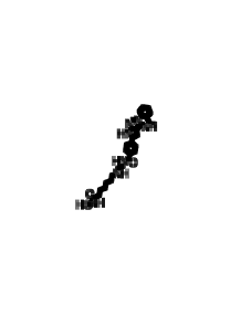 C[C@@H](Nc1ncnc2[nH]c(-c3ccc(C(=O)NCCNCCCCCCC(=O)NO)cc3)cc12)c1ccccc1